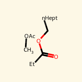 CCCCCCCCOC(=O)CC.COC(C)=O